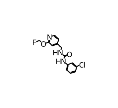 O=C(NCc1ccnc(OCF)c1)Nc1cccc(Cl)c1